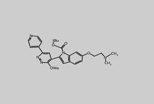 COc1nnc(-c2ccncc2)cc1-c1cc2ccc(OCCN(C)C)cc2n1C(=O)OC(C)(C)C